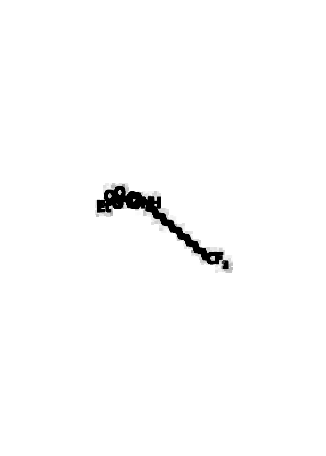 CCC(=O)OC(=O)c1ccc(NCCCCCCCCCCCCCCCC(F)(F)F)cc1